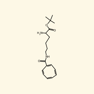 CC(C)(C)OC(=O)C(N)CCCCNC(=O)C1=C/C=C\C=C/C=C\1